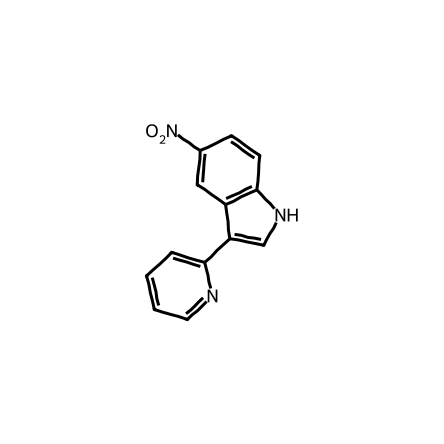 O=[N+]([O-])c1ccc2[nH]cc(-c3ccccn3)c2c1